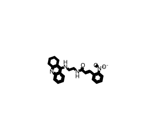 O=C(/C=C/c1ccccc1[N+](=O)[O-])NCCNc1c2c(nc3ccccc13)CCCC2